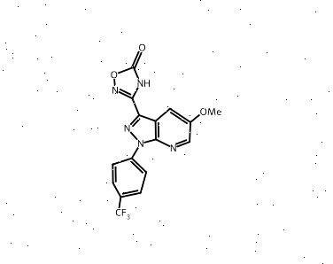 COc1cnc2c(c1)c(-c1noc(=O)[nH]1)nn2-c1ccc(C(F)(F)F)cc1